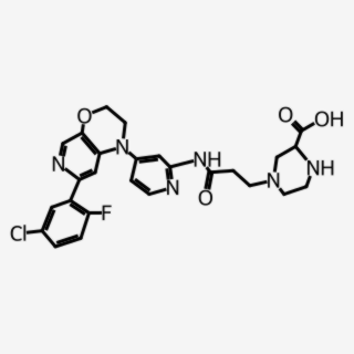 O=C(CCN1CCNC(C(=O)O)C1)Nc1cc(N2CCOc3cnc(-c4cc(Cl)ccc4F)cc32)ccn1